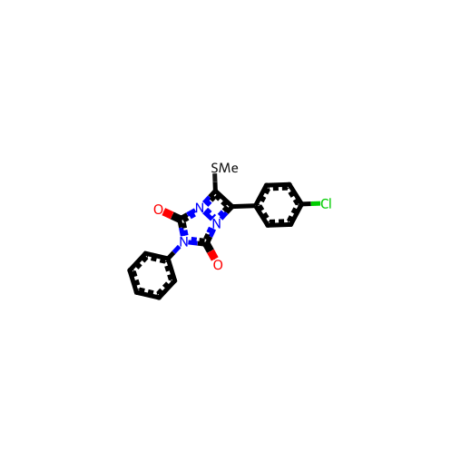 CSc1c(-c2ccc(Cl)cc2)n2c(=O)n(-c3ccccc3)c(=O)n12